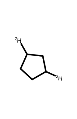 [2H]C1CCC([2H])C1